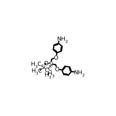 C[Si](C)(C)O[Si](C)(COc1ccc(N)cc1)COc1ccc(N)cc1